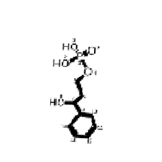 O=P(O)(O)OCCC(O)c1ccccc1